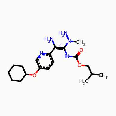 CC(C)COC(=O)N/C(=C(/N)c1ccc(OC2CCCCC2)cn1)N(C)N